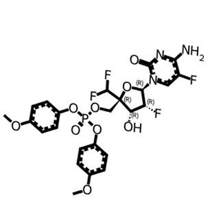 COc1ccc(OP(=O)(OC[C@@]2(C(F)F)O[C@@H](n3cc(F)c(N)nc3=O)[C@H](F)[C@@H]2O)Oc2ccc(OC)cc2)cc1